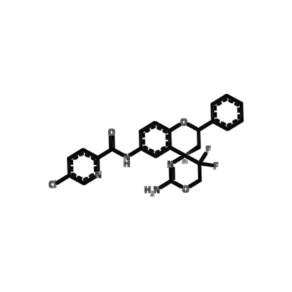 NC1=N[C@@]2(CC(c3ccccc3)Oc3ccc(NC(=O)c4ccc(Cl)cn4)cc32)C(F)(F)CO1